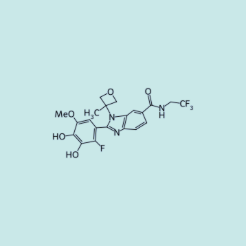 COc1cc(-c2nc3ccc(C(=O)NCC(F)(F)F)cc3n2C2(C)COC2)c(F)c(O)c1O